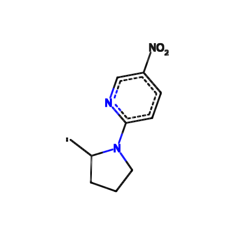 [CH]C1CCCN1c1ccc([N+](=O)[O-])cn1